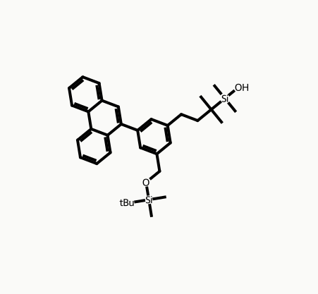 CC(C)(CCc1cc(CO[Si](C)(C)C(C)(C)C)cc(-c2cc3ccccc3c3ccccc23)c1)[Si](C)(C)O